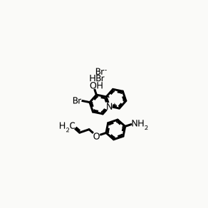 Br.C=CCOc1ccc(N)cc1.Oc1c(Br)cc[n+]2ccccc12.[Br-]